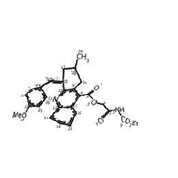 CCOC(=O)NC(=O)COC(=O)c1c2c(nc3ccccc13)/C(=C\c1ccc(OC)cc1)CC(C)C2